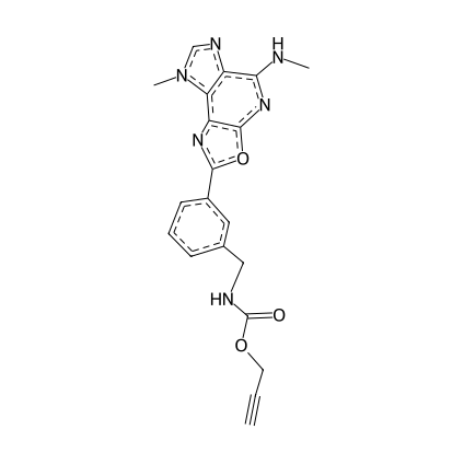 C#CCOC(=O)NCc1cccc(-c2nc3c(nc(NC)c4ncn(C)c43)o2)c1